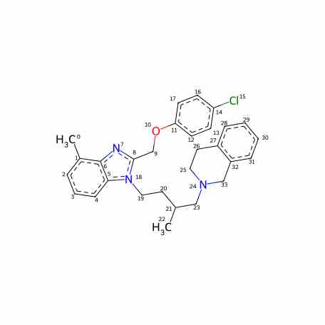 Cc1cccc2c1nc(COc1ccc(Cl)cc1)n2CCC(C)CN1CCc2ccccc2C1